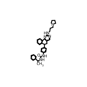 C[C@@H](NC(=O)Nc1ccc(C2Cc3cnc(NCCCN4CCCC4)nc3-c3ccccc32)cc1)c1ccccc1